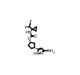 Nc1cc([C@H]2CC[C@@H](OC(=O)NC3(C(F)F)CC3)C2)[nH]n1